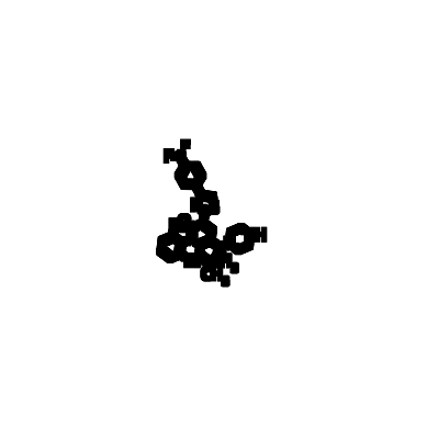 CCc1cccc(CC)c1-n1c(C=C(C)C)c(C(=O)N2CCNCC2)cc(-c2nc(-c3ccc(C(F)F)cc3)cs2)c1=O